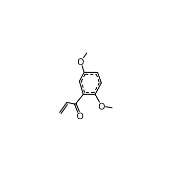 C=CC(=O)c1cc(OC)ccc1OC